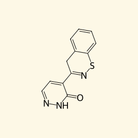 O=c1[nH]nccc1C1=NSc2ccccc2C1